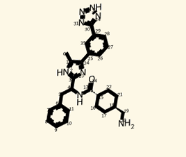 Cc1[nH]c(C(Cc2ccccc2)NC(=O)[C@H]2CC[C@H](CN)CC2)nc1-c1cccc(-c2nn[nH]n2)c1